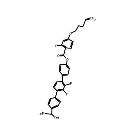 C=CCCCOc1ccc(C(=O)Oc2ccc(-c3ccc(-c4ccc(C(O)CCC)cc4)c(F)c3F)cc2)c(F)c1